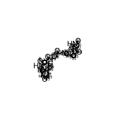 COc1cc(C(=O)NC2CCN(C(=O)CCN3CCN(c4cccc5c4C(=O)N(C4CCC(=O)NC4=O)C5=O)CC3)CC2)c(F)cc1Nc1ncc2c(n1)N(C1CCCC1)CC(F)(F)C(=O)N2C